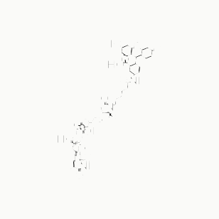 Cc1cn([C@H]2C[C@@H](O)[C@@H](COP(=O)(O)OCCSC3CC(=O)N(CCCCCC(=O)Nc4ccc(-c5c6ccc(=O)cc-6oc6cc(O)ccc56)c(C(=O)O)c4)C3=O)O2)c(=O)[nH]c1=O